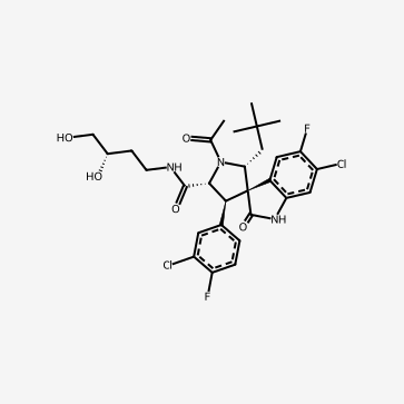 CC(=O)N1[C@@H](C(=O)NCC[C@H](O)CO)[C@H](c2ccc(F)c(Cl)c2)[C@@]2(C(=O)Nc3cc(Cl)c(F)cc32)[C@H]1CC(C)(C)C